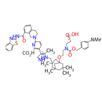 CNc1ccc(COC(=O)N(CCOC23CC(C)(C)CC(C)(CC(C)(CN/C(C)=C(\C=N)c4ccc(N5CCc6cccc(C(=O)Nc7nc8ccccc8s7)c6C5)nc4C(=O)O)C2)C3)CCS(=O)O)cc1